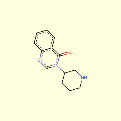 O=c1c2ccccc2ncn1C1CCCNC1